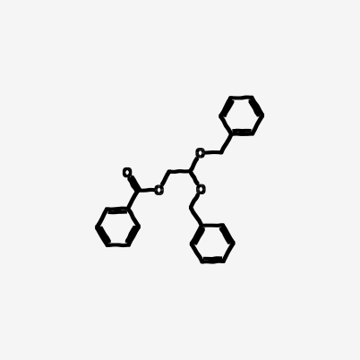 O=C(OCC(OCc1ccccc1)OCc1ccccc1)c1ccccc1